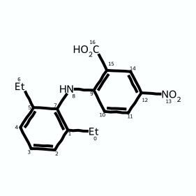 CCc1cccc(CC)c1Nc1ccc([N+](=O)[O-])cc1C(=O)O